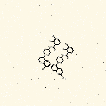 O=C(NC1CCN(c2ccnc3c(Cl)cccc23)CC1)c1cccc(Cl)c1Cl.O=C(NC1CCN(c2ccnc3cc(C(F)(F)F)ccc23)CC1)c1cccc(Cl)c1Cl